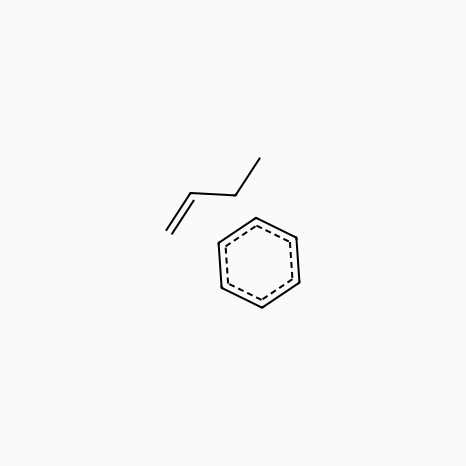 C=CCC.c1ccccc1